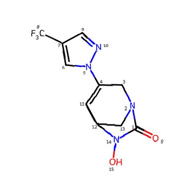 O=C1N2CC(n3cc(C(F)(F)F)cn3)=CC(C2)N1O